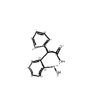 O=C(O)C(c1ccccn1)c1ccccc1SS